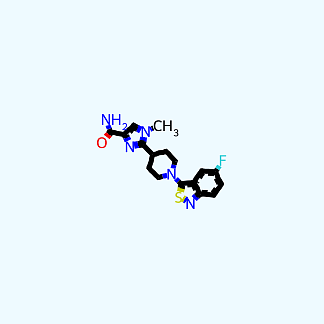 Cn1cc(C(N)=O)nc1C1CCN(c2snc3ccc(F)cc23)CC1